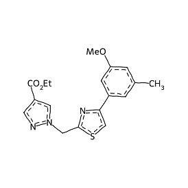 CCOC(=O)c1cnn(Cc2nc(-c3cc(C)cc(OC)c3)cs2)c1